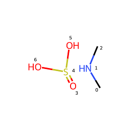 CNC.O=S(O)O